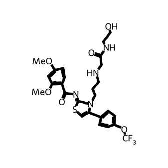 COc1ccc(C(=O)/N=c2\scc(-c3ccc(OC(F)(F)F)cc3)n2CCCNCC(=O)NCCO)c(OC)c1